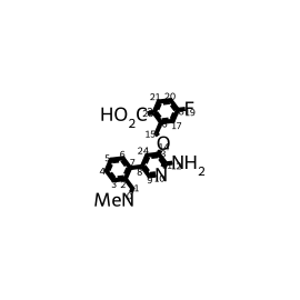 CNCc1ccccc1-c1cnc(N)c(OCc2cc(F)ccc2C(=O)O)c1